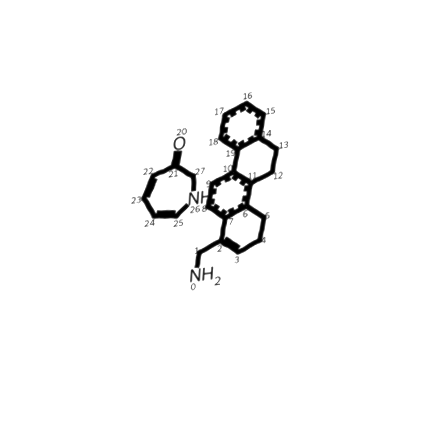 NCC1=CCCc2c1ccc1c2CCc2ccccc2-1.O=C1C=CC=CNC1